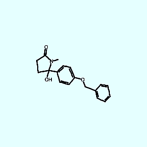 CN1C(=O)CCC1(O)c1ccc(OCc2ccccc2)cc1